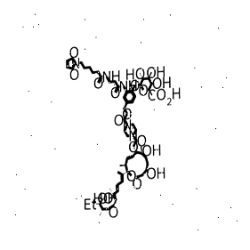 CC[C@H](O)[C@@H](C)[C@H]1O[C@@H]1C[C@@](C)(O)/C=C/C=C(\C)[C@H]1OC(=O)C[C@H](O)CC[C@@](C)(O)[C@@H](OC(=O)N2CCN(C(=O)OCc3ccc(O[C@@H]4O[C@H](C(=O)O)[C@@H](O)[C@H](O)[C@H]4O)c(NC(=O)CCNC(=O)CCCCCN4C(=O)C=CC4=O)c3)CC2)/C=C/[C@@H]1C